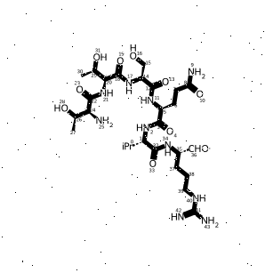 CC(C)[C@H](NC(=O)[C@H](CCC(N)=O)NC(=O)[C@H](CO)NC(=O)[C@@H](NC(=O)[C@@H](N)[C@@H](C)O)[C@@H](C)O)C(=O)N[C@H]([C]=O)CCCNC(=N)N